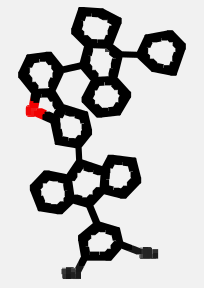 CC(C)(C)c1cc(-c2c3ccccc3c(-c3ccc4c(c3)oc3cccc(-c5c6ccccc6c(-c6ccccc6)c6ccccc56)c34)c3ccccc23)cc(C(C)(C)C)c1